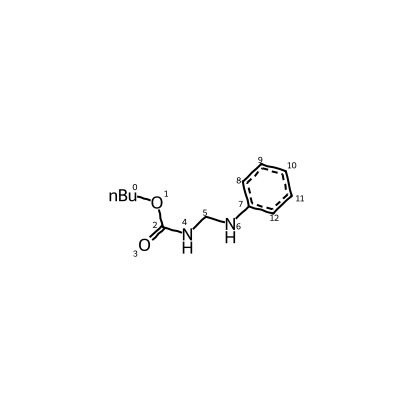 CCCCOC(=O)NCNc1ccccc1